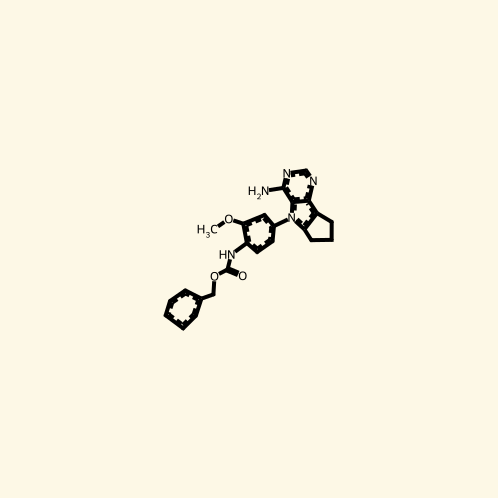 COc1cc(-n2c3c(c4ncnc(N)c42)CCC3)ccc1NC(=O)OCc1ccccc1